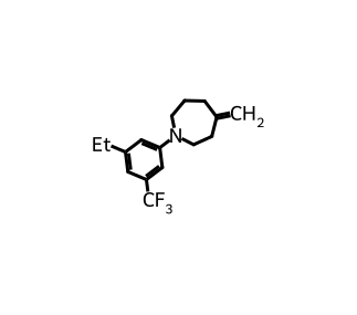 C=C1CCCN(c2cc(CC)cc(C(F)(F)F)c2)CC1